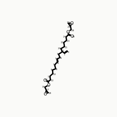 C=CC(CCC=CCCCCCCC(=O)OCC1CO1)CCCCCC(=O)OCC1CO1